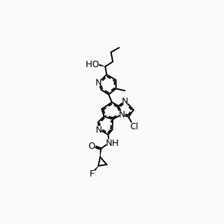 CCC[C@H](O)c1cc(C)c(-c2cc3cnc(NC(=O)[C@H]4C[C@H]4F)cc3n3c(Cl)cnc23)cn1